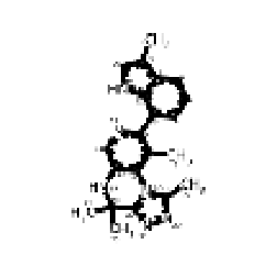 Cc1c(-c2cccc3c(C)c[nH]c23)ncc2c1-n1c(C)nnc1C(C)(C)N2